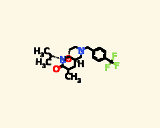 CC1C[C@@H]2CN(Cc3ccc(C(F)(F)F)cc3)CC[C@@]23OC[C@H](C(C)C)N3C1=O